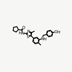 Cc1ccc(-c2sc(NC(=O)C3CCCC3)nc2C)cc1NCc1ccc(O)cc1